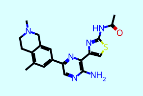 CC(=O)Nc1nc(-c2nc(-c3cc(C)c4c(c3)CN(C)CC4)cnc2N)cs1